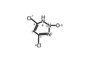 [O]N1N=C(Cl)C=C(Cl)N1